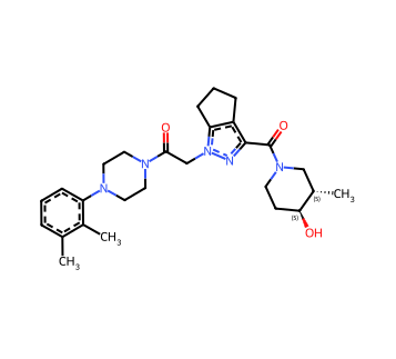 Cc1cccc(N2CCN(C(=O)Cn3nc(C(=O)N4CC[C@H](O)[C@@H](C)C4)c4c3CCC4)CC2)c1C